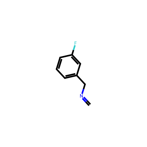 C=NCc1cccc(F)c1